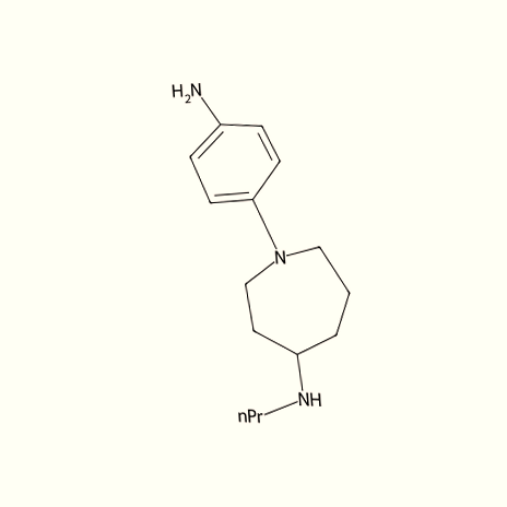 CCCNC1CCCN(c2ccc(N)cc2)CC1